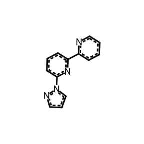 c1ccc(-c2cccc(-n3cccn3)n2)nc1